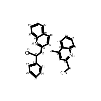 Cc1cc(CCl)nc2ccccc12.ClC(Cc1ccc2ccccc2n1)c1ccccc1